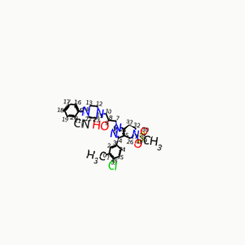 Cc1cc(-c2nn(CC(O)CN3CCN(c4ccccc4C#N)CC3)c3c2CN(S(C)(=O)=O)CC3)ccc1Cl